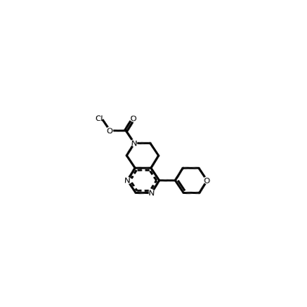 O=C(OCl)N1CCc2c(ncnc2C2=CCOCC2)C1